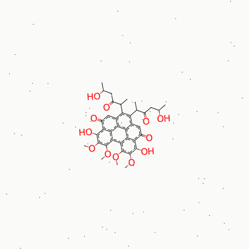 COc1c(O)c2c(=O)cc3c(C(C)C(=O)CC(C)O)c(C(C)C(=O)CC(C)O)c4cc(=O)c5c(O)c(OC)c(OC)c6c(c1OC)c2c3c4c56